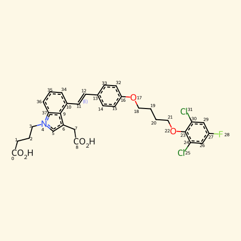 O=C(O)CCCn1cc(CC(=O)O)c2c(/C=C/c3ccc(OCCCCOc4c(Cl)cc(F)cc4Cl)cc3)cccc21